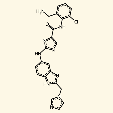 NCc1cccc(Cl)c1NC(=O)c1cnc(Nc2ccc3[nH]c(Cn4ccnc4)nc3c2)s1